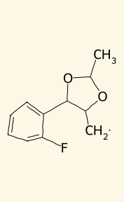 [CH2]C1OC(C)OC1c1ccccc1F